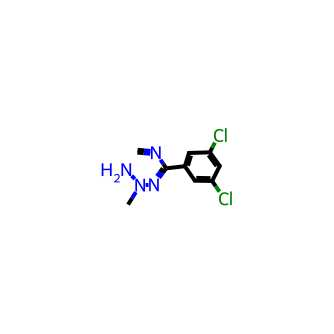 C=N/C(=N\N(C)N)c1cc(Cl)cc(Cl)c1